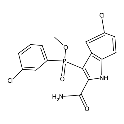 COP(=O)(c1cccc(Cl)c1)c1c(C(N)=O)[nH]c2ccc(Cl)cc12